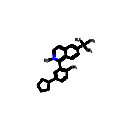 Cc1ccc(C2CCCC2)cc1-c1c2ccc([Si](C)(C)C)cc2cc[n+]1C